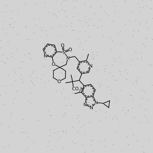 Cc1ncc(C(c2ccc3c(nnn3C3CC3)c2C)C(C)(C)C(=O)O)cc1CN1CC2(CCOCC2)Oc2ncccc2S1(=O)=O